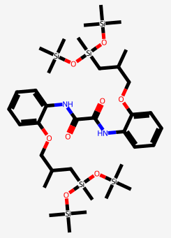 CC(COc1ccccc1NC(=O)C(=O)Nc1ccccc1OCC(C)C[Si](C)(O[Si](C)(C)C)O[Si](C)(C)C)C[Si](C)(O[Si](C)(C)C)O[Si](C)(C)C